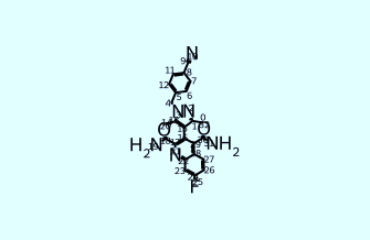 Cc1nn(Cc2ccc(C#N)cc2)c(C)c1-c1c(C(N)=O)nc2cc(F)ccc2c1C(N)=O